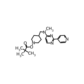 CN(CC1CCN(OC(=O)C(C)(C)C)CC1)c1ccnc(-c2ccncc2)n1